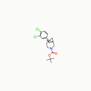 C=CC12CN(C(=O)OC(C)(C)C)CCC1(c1ccc(Cl)c(Cl)c1)C2